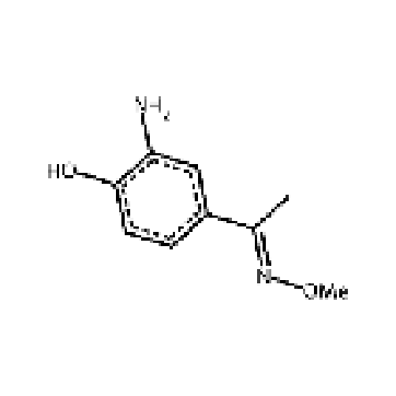 CO/N=C(\C)c1ccc(O)c(N)c1